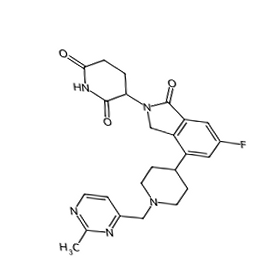 Cc1nccc(CN2CCC(c3cc(F)cc4c3CN(C3CCC(=O)NC3=O)C4=O)CC2)n1